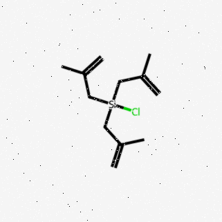 C=C(C)C[Si](Cl)(CC(=C)C)CC(=C)C